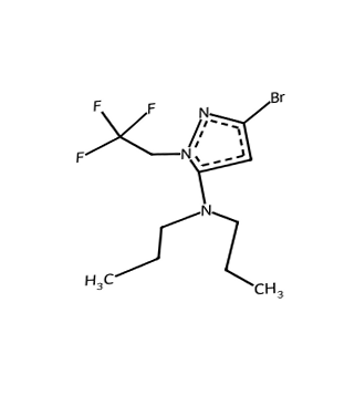 CCCN(CCC)c1cc(Br)nn1CC(F)(F)F